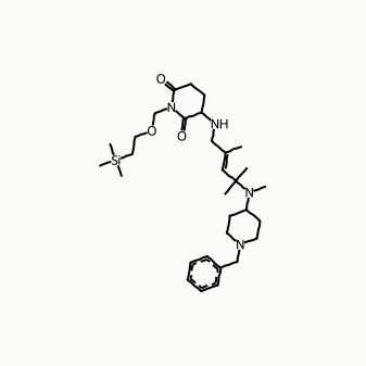 C/C(=C\C(C)(C)N(C)C1CCN(Cc2ccccc2)CC1)CNC1CCC(=O)N(COCC[Si](C)(C)C)C1=O